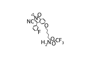 N#Cc1c(-c2cccc(F)c2)c2cc(OCCCCCC(N)OC(=O)C(F)(F)F)ccc2c(=O)n1C1CC1